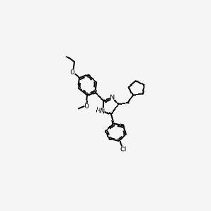 CCOc1ccc(C2=NC(CC3CCCC3)C(c3ccc(Cl)cc3)N2)c(OC)c1